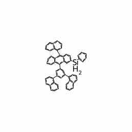 c1ccc([SiH2]c2ccc3c(-c4cccc5ccccc45)c4ccccc4c(-c4cc(-c5cccc6ccccc56)cc(-c5cccc6ccccc56)c4)c3c2)cc1